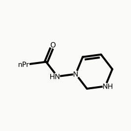 CCCC(=O)NN1C=CCNC1